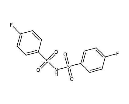 O=S(=O)(NS(=O)(=O)c1ccc(F)cc1)c1ccc(F)cc1